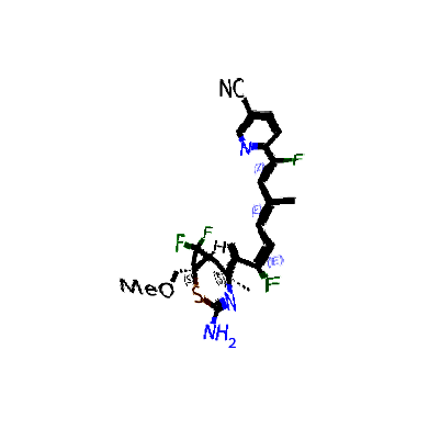 C=C(\C(F)=C/C=C(C)/C=C(\F)c1ccc(C#N)cn1)[C@@]1(C)N=C(N)S[C@]2(COC)[C@@H]1C2(F)F